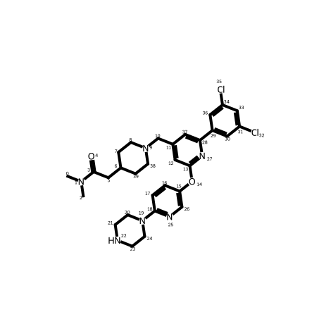 CN(C)C(=O)CC1CCN(Cc2cc(Oc3ccc(N4CCNCC4)nc3)nc(-c3cc(Cl)cc(Cl)c3)c2)CC1